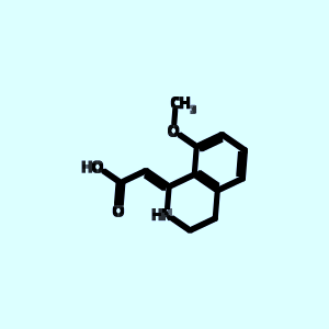 COc1cccc2c1/C(=C/C(=O)O)NCC2